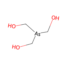 OC[As](CO)CO